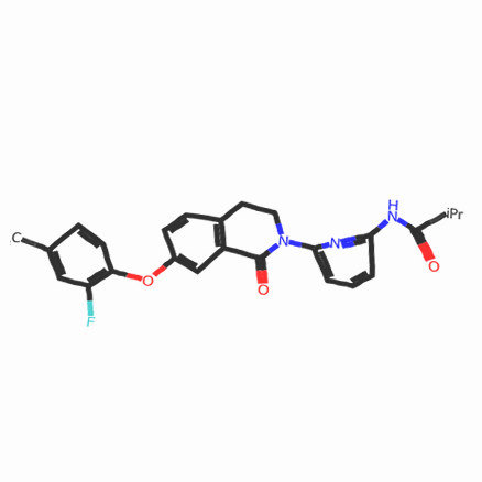 CC(C)C(=O)Nc1cccc(N2CCc3ccc(Oc4ccc(C(F)(F)F)cc4F)cc3C2=O)n1